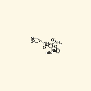 CCCCNc1cc(C(=O)NCCN2CCS(=O)(=O)CC2)cc([S+](N)[O-])c1Oc1ccccc1